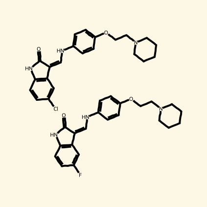 O=C1Nc2ccc(Cl)cc2C1=CNc1ccc(OCCN2CCCCC2)cc1.O=C1Nc2ccc(F)cc2C1=CNc1ccc(OCCN2CCCCC2)cc1